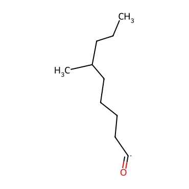 CCCC(C)CCCC[C]=O